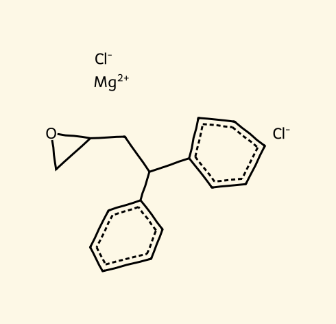 [Cl-].[Cl-].[Mg+2].c1ccc(C(CC2CO2)c2ccccc2)cc1